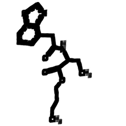 CCCCOC(=O)C(CC)NC(=O)Cc1cccc2scnc12